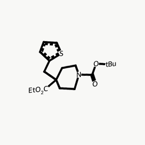 CCOC(=O)C1(Cc2cccs2)CCN(C(=O)OC(C)(C)C)CC1